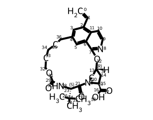 C=Cc1cc2cc3c(nccc13)O[C@@H]1C[C@@H](C(=O)O)N(C1)C(=O)[C@H](C(C)(C)C)NC(=O)OCCCCC2